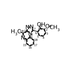 COc1cccc(-c2nnc3c(C)nc4ccccc4n23)c1O